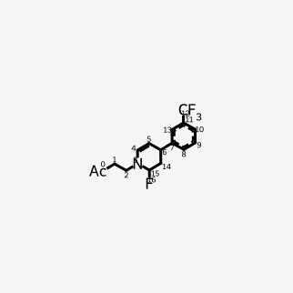 CC(=O)CCN1C=CC(c2cccc(C(F)(F)F)c2)CC1F